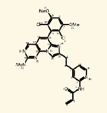 C=CC(=O)Nc1cc(CCc2cn3c(n2)c(-c2c(Cl)c(OC)cc(OC)c2Cl)cc2cnc(NC)nc23)ccn1